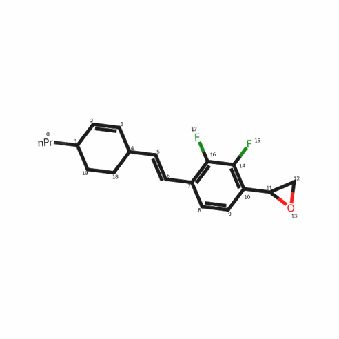 CCCC1C=CC(/C=C/c2ccc(C3CO3)c(F)c2F)CC1